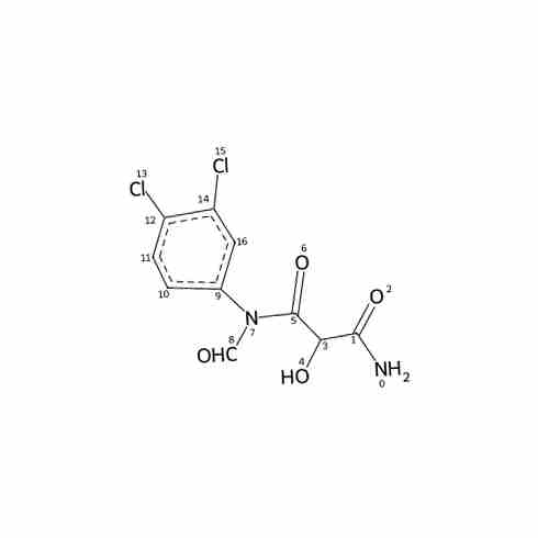 NC(=O)C(O)C(=O)N(C=O)c1ccc(Cl)c(Cl)c1